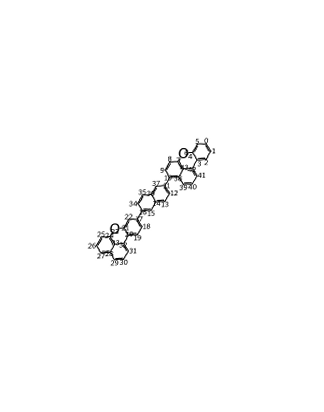 c1ccc2c(c1)Oc1ccc(-c3ccc4cc(-c5ccc6c(c5)Oc5cccc7cccc-6c57)ccc4c3)c3cccc-2c13